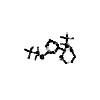 CC(C)(C)[Si](C)(C)Oc1cccc(C2([Si](C)(C)C(C)(C)C)SCCCS2)c1